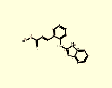 O=C(/C=C/c1ccccc1Nc1nc2ccccc2[nH]1)NO